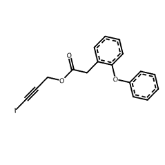 O=C(Cc1ccccc1Oc1ccccc1)OCC#CI